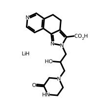 O=C1CN(CC(O)Cn2nc3c(c2C(=O)O)CCc2cnccc2-3)CCN1.[LiH]